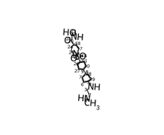 CNCCNc1ccc(-c2ccc(S(=O)(=O)N3C=CC(C(=O)NO)CC3)cc2)cc1